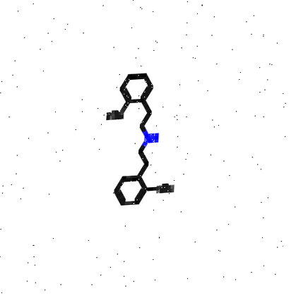 CCCCc1ccccc1CCNCCc1ccccc1CCCC